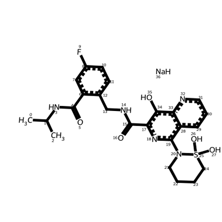 CC(C)NC(=O)c1cc(F)ccc1CNC(=O)c1nc(N2CCCCS2(O)O)c2cccnc2c1O.[NaH]